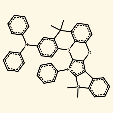 CC1(C)c2cc(N(c3ccccc3)c3ccccc3)ccc2B2c3c(cccc31)Oc1c3c(n(-c4ccccc4)c12)[Si](C)(C)c1ccccc1-3